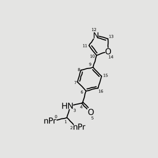 CCCC(CCC)NC(=O)c1ccc(-c2cnco2)cc1